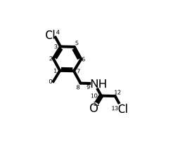 Cc1cc(Cl)ccc1CNC(=O)CCl